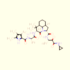 CCC[C@H](NC(=O)[C@@H]1C[C@@H]2CCCC3[C@@H]2N1C(=O)[C@@H](NC(=O)[C@@H](NC(=O)c1[nH]c(C)c(C)c1C(C)=O)C(C)C)C3(C)C)C(=O)C(=O)NC1CC1